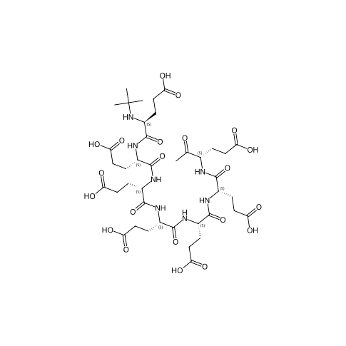 CC(=O)[C@H](CCC(=O)O)NC(=O)[C@H](CCC(=O)O)NC(=O)[C@H](CCC(=O)O)NC(=O)[C@H](CCC(=O)O)NC(=O)[C@H](CCC(=O)O)NC(=O)[C@H](CCC(=O)O)NC(=O)[C@H](CCC(=O)O)NC(C)(C)C